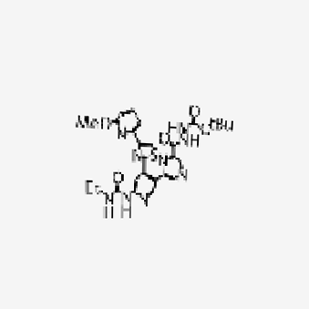 CCNC(=O)Nc1cc(-c2nc(-c3cccc(OC)n3)cs2)c(-c2cncc(C(=O)NNC(=O)OC(C)(C)C)n2)cn1